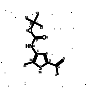 C=C(C)c1cc(NC(=O)OC(C)(C)C)c(C)s1